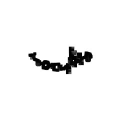 CN(C)CCOc1ccc(N2CCN(CCNc3nc(N)n4nc(-c5ccco5)nc4n3)CC2)cc1